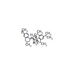 COc1ccc2c(c1)CC(C)C/C2=N\NS(=O)(=O)c1c(C(C)C)cc(C(C)C)cc1C(C)C